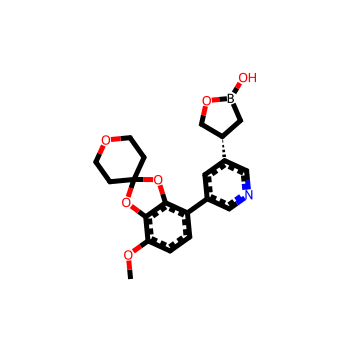 COc1ccc(-c2cncc([C@@H]3COB(O)C3)c2)c2c1OC1(CCOCC1)O2